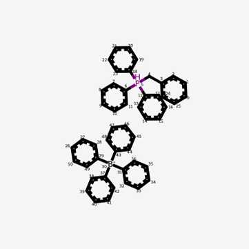 c1ccc(C[PH](c2ccccc2)(c2ccccc2)c2ccccc2)cc1.c1ccc([B-](c2ccccc2)(c2ccccc2)c2ccccc2)cc1